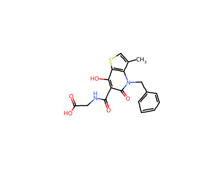 Cc1csc2c(O)c(C(=O)NCC(=O)O)c(=O)n(Cc3ccccc3)c12